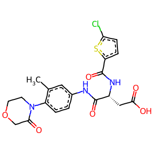 Cc1cc(NC(=O)[C@@H](CC(=O)O)NC(=O)c2ccc(Cl)s2)ccc1N1CCOCC1=O